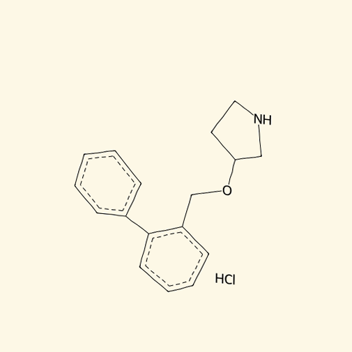 Cl.c1ccc(-c2ccccc2COC2CCNC2)cc1